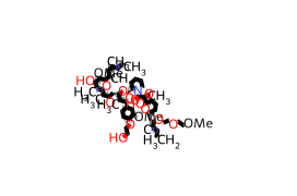 C=C/C=C(\C)[C@H](C[C@@H]1CC[C@@H](C)[C@](O)(C(=O)C(=O)N2CCCC[C@H]2C(=O)O[C@@H](CC(=O)[C@H](C)/C=C(\C)[C@@H](O)[C@@H](OC)C(=O)[C@H](C)C[C@H](C)/C=C/C)[C@H](C)C[C@@H]2CC[C@@H](OCCO)[C@H](OC)C2)O1)OCCOCCOC